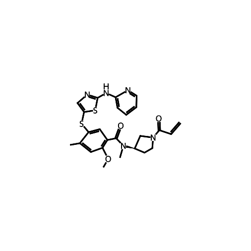 C=CC(=O)N1CC[C@@H](N(C)C(=O)c2cc(Sc3cnc(Nc4ccccn4)s3)c(C)cc2OC)C1